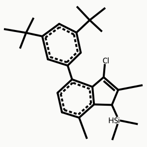 CC1=C(Cl)c2c(-c3cc(C(C)(C)C)cc(C(C)(C)C)c3)ccc(C)c2C1[SiH](C)C